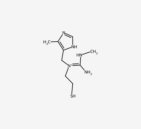 CNC(N)=[N+](CCS)Cc1[nH]cnc1C